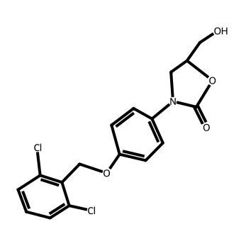 O=C1OC(CO)CN1c1ccc(OCc2c(Cl)cccc2Cl)cc1